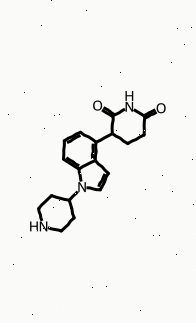 O=C1CCC(c2cccc3c2ccn3C2CCNCC2)C(=O)N1